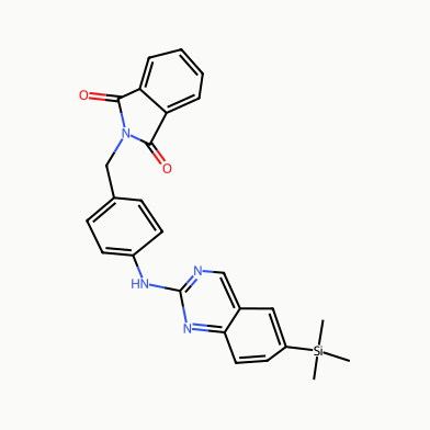 C[Si](C)(C)c1ccc2nc(Nc3ccc(CN4C(=O)c5ccccc5C4=O)cc3)ncc2c1